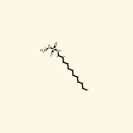 CCCCCCCCCCCCOS(=O)(=S)ON